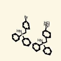 Cl.Cl.N=P(Cc1ccc(Br)cc1)(c1ccccc1)c1ccccc1.N=P(Cc1ccc(Br)cc1)(c1ccccc1)c1ccccc1